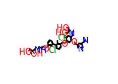 Cc1c(COc2cc(OCc3cncc(C#N)c3)c(CN(C)C(CO)CO)cc2Cl)cccc1-c1cccc(OCCCNC[C@H](O)CO)c1Cl